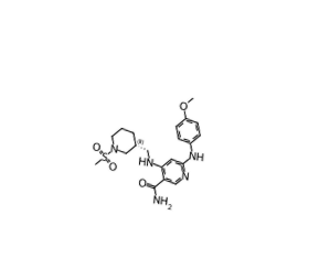 COc1ccc(Nc2cc(NC[C@H]3CCCN(S(C)(=O)=O)C3)c(C(N)=O)cn2)cc1